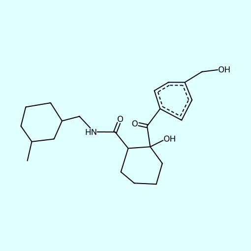 CC1CCCC(CNC(=O)C2CCCCC2(O)C(=O)c2ccc(CO)cc2)C1